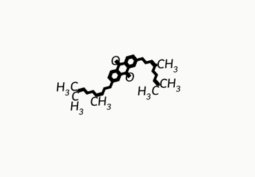 CC(C)=CCCC(C)=CCCc1ccc2c(c1)C(=O)c1cc(CCC=C(C)CCC=C(C)C)ccc1C2=O